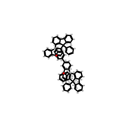 c1ccc(C2(c3ccccc3)c3ccccc3-c3cccc(-n4c5ccccc5c5cc(-c6ccc7c(c6)c6ccccc6n7-c6cccc7c6C(c6ccccc6)(c6ccccc6)c6ccccc6-7)ccc54)c32)cc1